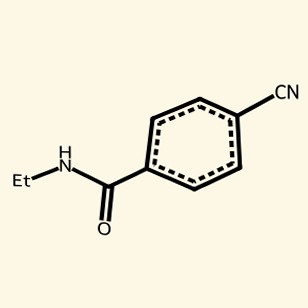 CCNC(=O)c1ccc(C#N)cc1